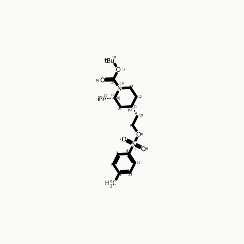 Cc1ccc(S(=O)(=O)OCC[C@H]2CCN(C(=O)OC(C)(C)C)[C@@H](C(C)C)C2)cc1